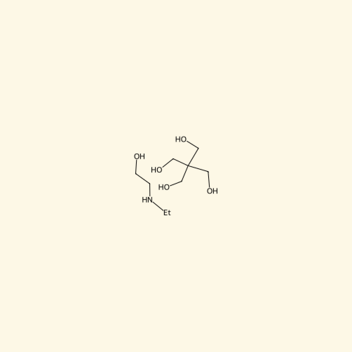 CCNCCO.OCC(CO)(CO)CO